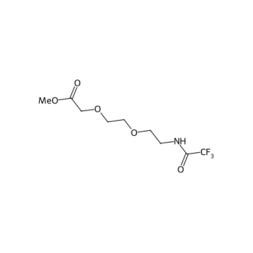 COC(=O)COCCOCCNC(=O)C(F)(F)F